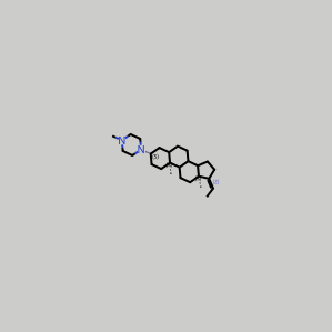 C/C=C1/CCC2C3CCC4C[C@@H](N5CCN(C)CC5)CC[C@]4(C)C3CC[C@]12C